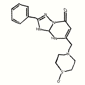 O=C1C=C(CN2CC[S+]([O-])CC2)NC2NC(c3ccccc3)=NN12